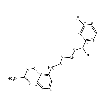 O=S(=O)(O)c1ccc2c(NCCNCC(O)c3cccc(Cl)c3)cccc2c1